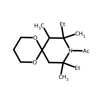 CCC1(C)CC2(OCCCO2)C(C)C(C)(CC)N1C(C)=O